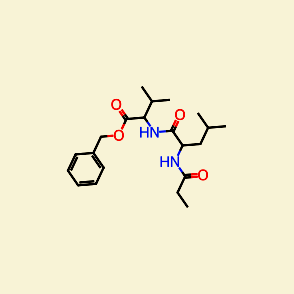 CCC(=O)NC(CC(C)C)C(=O)NC(C(=O)OCc1ccccc1)C(C)C